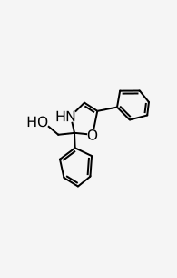 OCC1(c2ccccc2)NC=C(c2ccccc2)O1